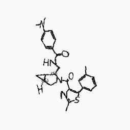 Cc1cccc(-c2sc(C)nc2C(=O)N2C[C@H]3CC3[C@H]2CNC(=O)c2ccc(N(C)C)cc2)c1